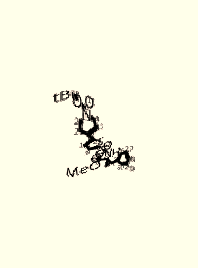 COC(=O)C1(NS(=O)(=O)c2ccc(C3=CCN(C(=O)OC(C)(C)C)CC3)s2)CC1c1ccccc1